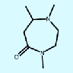 CC1CC(=O)N(C)CCN1C